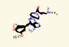 CNC/C=C/C(=O)N1CC[C@H](n2nc(C#Cc3cc(OC)cc(OC)c3)c3c(N)ncnc32)C1